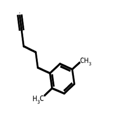 [C]#CCCCc1cc(C)ccc1C